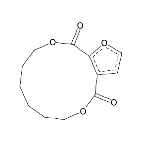 O=C1OCCCCCCOC(=O)c2occc21